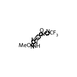 COc1n[nH]c2nc(N3CCC4(CC3)CC(=O)N(c3ccc(C(F)(F)F)nc3)C4)ncc12